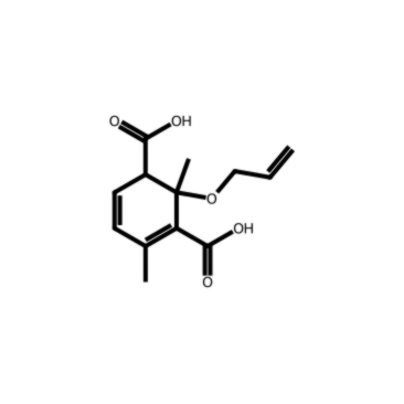 C=CCOC1(C)C(C(=O)O)=C(C)C=CC1C(=O)O